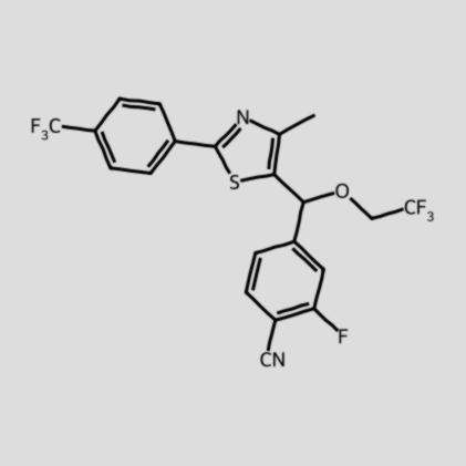 Cc1nc(-c2ccc(C(F)(F)F)cc2)sc1C(OCC(F)(F)F)c1ccc(C#N)c(F)c1